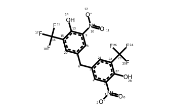 O=[N+]([O-])c1cc(Cc2cc([N+](=O)[O-])c(O)c(C(F)(F)F)c2)cc(C(F)(F)F)c1O